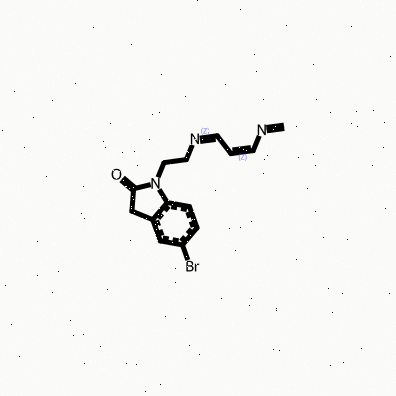 C=N/C=C\C=N/CCN1C(=O)Cc2cc(Br)ccc21